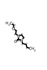 CCCCN1CCN(CCOCC)C1=O